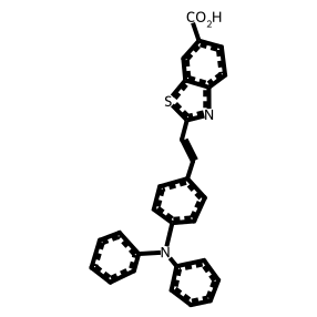 O=C(O)c1ccc2nc(/C=C/c3ccc(N(c4ccccc4)c4ccccc4)cc3)sc2c1